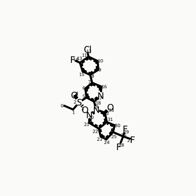 CCS(=O)(=O)c1cc(-c2ccc(Cl)c(F)c2)cnc1-n1ncc2ccc(C(F)(F)F)cc2c1=O